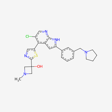 CN1CC(O)(c2ncc(-c3c(Cl)cnc4[nH]c(-c5cccc(CN6CCCC6)c5)cc34)s2)C1